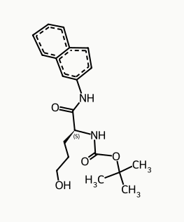 CC(C)(C)OC(=O)N[C@@H](CCCO)C(=O)Nc1ccc2ccccc2c1